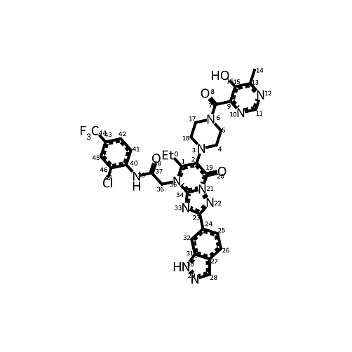 CCc1c(N2CCN(C(=O)c3ncnc(C)c3O)CC2)c(=O)n2nc(-c3ccc4cn[nH]c4c3)nc2n1CC(=O)Nc1ccc(C(F)(F)F)cc1Cl